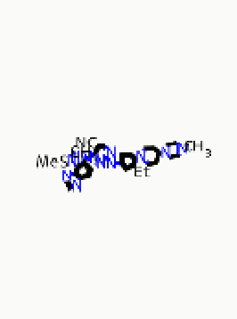 CCc1cc(Nc2ncc(C#N)c(Nc3ccc4nccnc4c3N(C)SC)n2)ccc1N1CCC(N2CCN(C)CC2)CC1